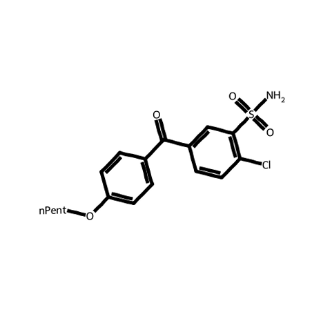 CCCCCOc1ccc(C(=O)c2ccc(Cl)c(S(N)(=O)=O)c2)cc1